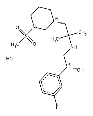 CC(C)(C[C@H]1CCCN(S(C)(=O)=O)C1)NC[C@H](O)c1cccc(F)c1.Cl